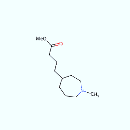 COC(=O)CCCC1CCCN(C)CC1